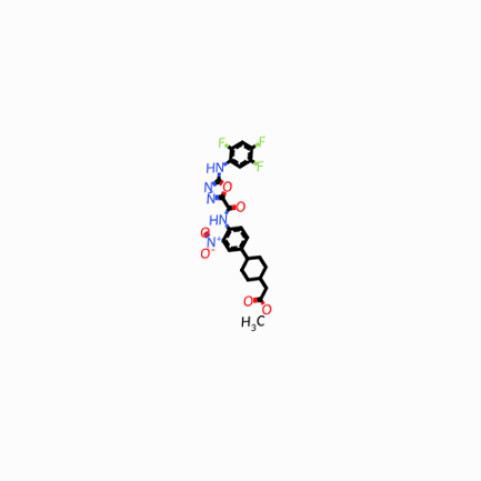 COC(=O)CC1CCC(c2ccc(NC(=O)c3nnc(Nc4cc(F)c(F)cc4F)o3)c([N+](=O)[O-])c2)CC1